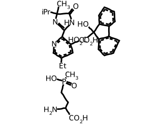 CCc1cnc(C2=NC(C)(C(C)C)C(=O)N2)c(C(=O)O)c1.CP(=O)(O)CCC(N)C(=O)O.O=C(O)C1(O)c2ccccc2-c2ccccc21